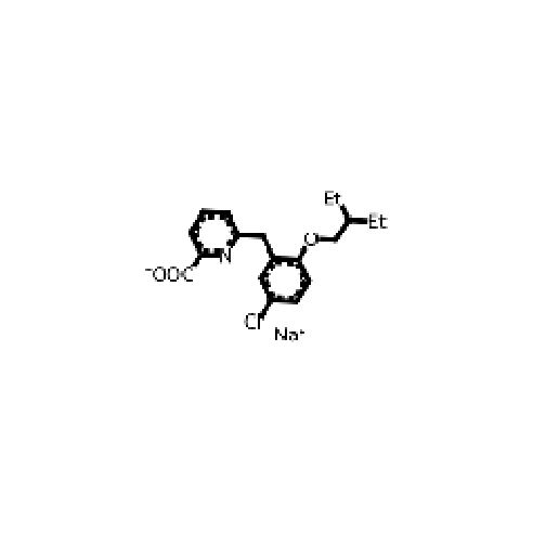 CCC(CC)COc1ccc(Cl)cc1Cc1cccc(C(=O)[O-])n1.[Na+]